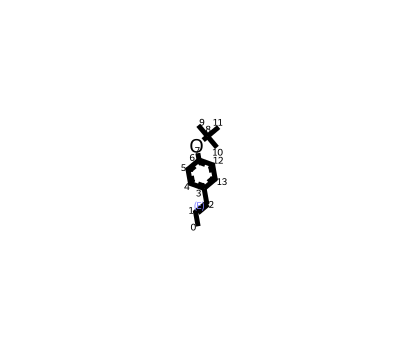 C/C=C/c1ccc(OC(C)(C)C)cc1